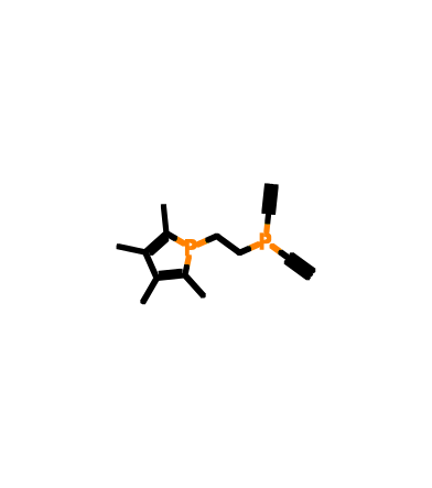 C#CP(C#C)CCp1c(C)c(C)c(C)c1C